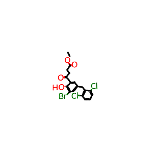 CCOC(=O)CCC(=O)c1cc(Cc2c(Cl)cccc2Cl)cc(Br)c1O